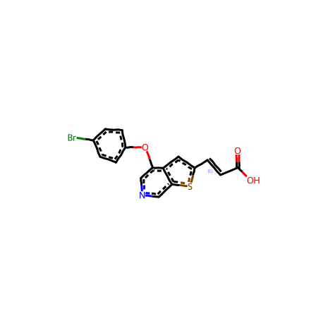 O=C(O)/C=C/c1cc2c(Oc3ccc(Br)cc3)cncc2s1